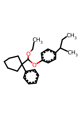 CCOC(Oc1ccc(C(C)CC)cc1)C1(c2ccccc2)CCCCC1